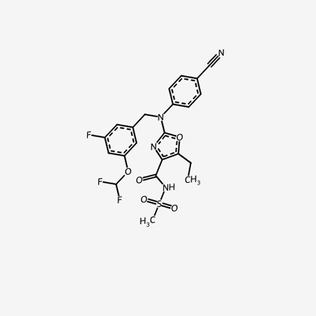 CCc1oc(N(Cc2cc(F)cc(OC(F)F)c2)c2ccc(C#N)cc2)nc1C(=O)NS(C)(=O)=O